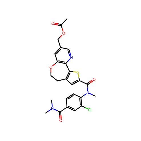 CC(=O)OCc1cnc2c(c1)OCCc1cc(C(=O)N(C)c3ccc(C(=O)N(C)C)cc3Cl)sc1-2